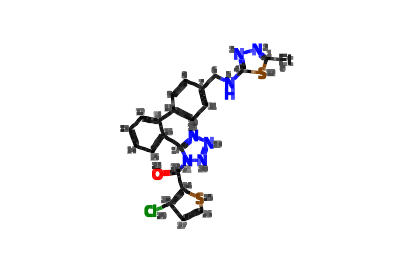 CCc1nnc(NCc2ccc(-c3ccccc3-c3nnnn3C(=O)c3sccc3Cl)cc2)s1